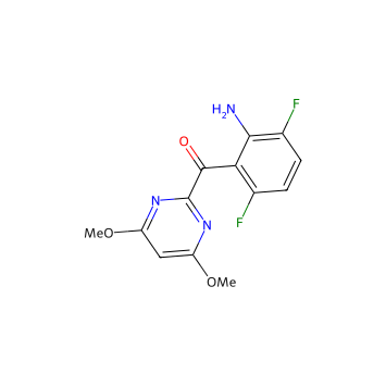 COc1cc(OC)nc(C(=O)c2c(F)ccc(F)c2N)n1